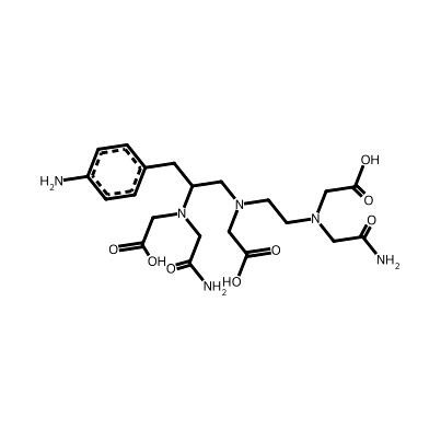 NC(=O)CN(CCN(CC(=O)O)CC(Cc1ccc(N)cc1)N(CC(N)=O)CC(=O)O)CC(=O)O